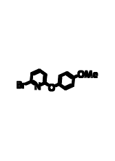 COc1ccc(Oc2cccc(Br)n2)cc1